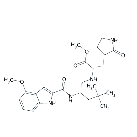 COC(=O)[C@H](C[C@@H]1CCNC1=O)NC[C@H](CC(C)(C)C)NC(=O)c1cc2c(OC)cccc2[nH]1